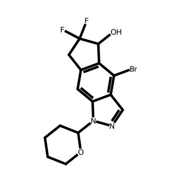 OC1c2c(cc3c(cnn3C3CCCCO3)c2Br)CC1(F)F